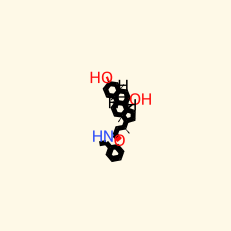 CC(NC(=O)C[C@@H](C)C1CC[C@H]2[C@@H]3[C@H](O)C[C@@H]4C[C@H](O)CC[C@]4(C)[C@H]3CC[C@]12C)c1ccccc1